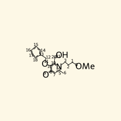 COCCCn1c(C)cc(=O)c(OCc2ccccc2)c1CO